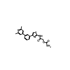 Cc1cc(-c2cccc(-c3csc(NC(=O)COC(N)=O)n3)c2)cc(C)n1